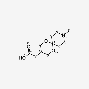 CN1CCC2(CC1)OCC(CC(=O)O)CO2